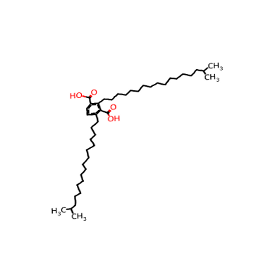 CC(C)CCCCCCCCCCCCCCCc1ccc(C(=O)O)c(CCCCCCCCCCCCCCCC(C)C)c1C(=O)O